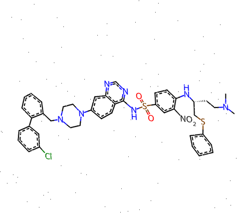 CN(C)CC[C@H](CSc1ccccc1)Nc1ccc(S(=O)(=O)Nc2ncnc3cc(N4CCN(Cc5ccccc5-c5cccc(Cl)c5)CC4)ccc23)cc1[N+](=O)[O-]